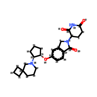 O=C1CCC(N2Cc3cc(O[C@H]4CCC[C@H]4N4CCCC5(CCC5)C4)ccc3C2=O)C(=O)N1